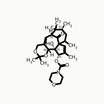 CC1=CC23C(=O)[C@@H](C=C4COC(C)(C)O[C@H]4[C@]2(O)[C@H]1OC(=O)N1CCOCC1)C(C)(C)[C@@H](C)CC3C